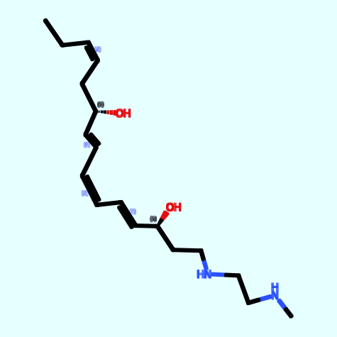 CC/C=C\C[C@H](O)/C=C/C=C\C=C\[C@@H](O)CCNCCNC